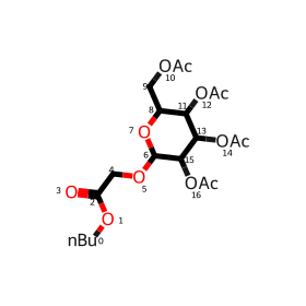 CCCCOC(=O)COC1OC(COC(C)=O)C(OC(C)=O)C(OC(C)=O)C1OC(C)=O